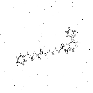 O=C(C[S+]([O-])Cc1ccccc1)NCCCCCC(=O)Nc1cccc(-c2ccccc2)c1